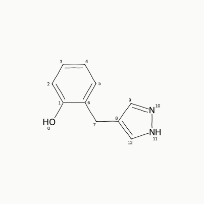 Oc1ccccc1Cc1cn[nH]c1